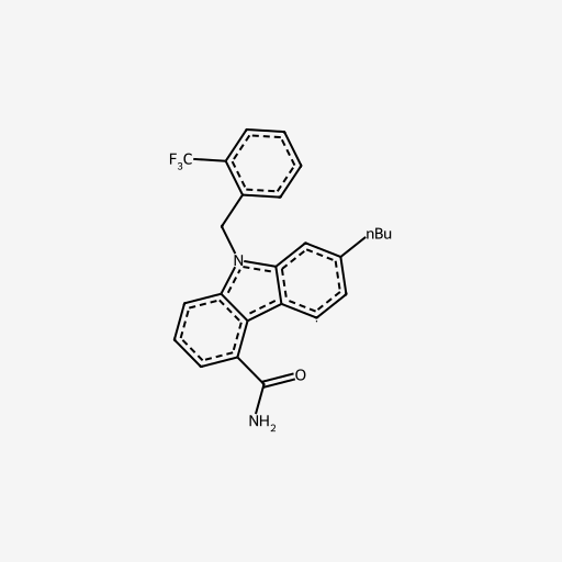 CCCCc1c[c]c2c3c(C(N)=O)cccc3n(Cc3ccccc3C(F)(F)F)c2c1